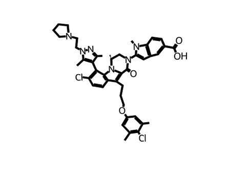 Cc1cc(OCCCc2c3n(c4c(-c5c(C)nn(CCN6CCCC6)c5C)c(Cl)ccc24)[C@H](C)CN(c2cc4cc(C(=O)O)ccc4n2C)C3=O)cc(C)c1Cl